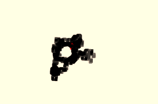 CC(C)CO[C@]1(CN2CCN3CCOC[C@@H]3C2)/C=C/C[C@H](C)[C@@H](C)S(=O)(=O)NC(=O)c2ccc3c(c2)N(CCCCc2cc(Cl)ccc2CO3)C[C@@H]2CC[C@H]21